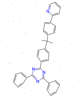 CC(C)(c1ccc(-c2ccccn2)cc1)c1ccc(-c2nc(-c3ccccc3)nc(-c3ccccc3)n2)cc1